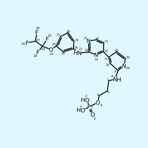 O=P(O)(O)OCCCNc1cc(-c2ccnc(Nc3cccc(OC(F)(F)C(F)F)c3)n2)ccn1